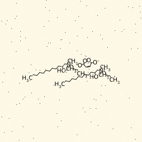 CCCCCCCCCCC(O)C[N+](C)(C)CCCC.CCCCCCCCCCC(O)C[N+](C)(C)CCCC.O=C([O-])/C=C\C(=O)[O-]